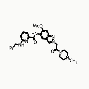 COc1cc2nn(CC(=O)N3CCN(C)CC3)cc2cc1NC(=O)c1cccc(NCC(C)C)n1